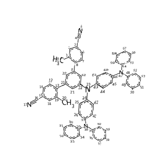 Cc1cc(C#N)ccc1-c1cc(-c2ccc(C#N)cc2C)cc(N(c2ccc(N(c3ccccc3)c3ccccc3)cc2)c2ccc(N(c3ccccc3)c3ccccc3)cc2)c1